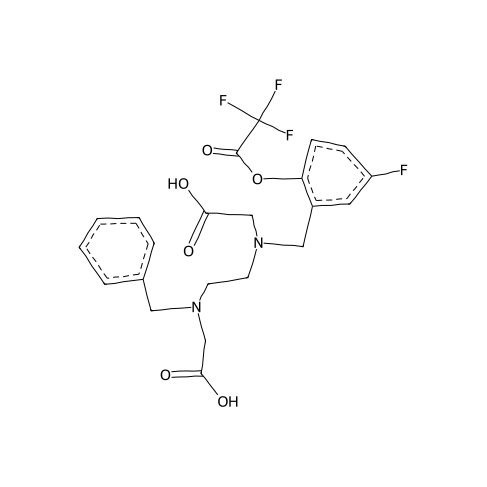 O=C(O)CN(CCN(CC(=O)O)Cc1cc(F)ccc1OC(=O)C(F)(F)F)Cc1ccccc1